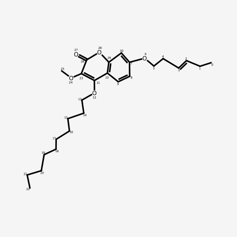 CCC=CCCOc1ccc2c(OCCCCCCCCCC)c(OC)c(=O)oc2c1